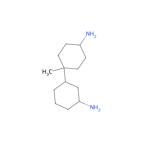 CC1(C2CCCC(N)C2)CCC(N)CC1